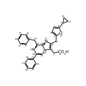 O=C(O)Cc1c(Cc2ccc(C3CC3)o2)nc2c(Cc3ccccc3)nc(-c3ccccc3)cn12